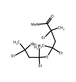 CCC(C)(CC(C)(CC)C(=O)NC)SC(C)(CC)CC(C)(CC)C(C)(C)C